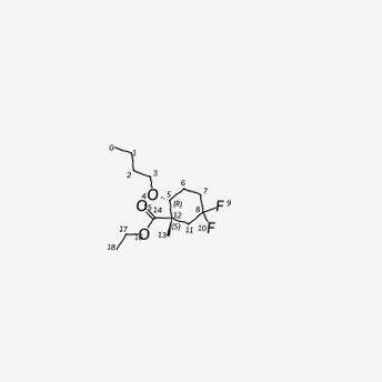 CCCCO[C@@H]1CCC(F)(F)C[C@]1(C)C(=O)OCC